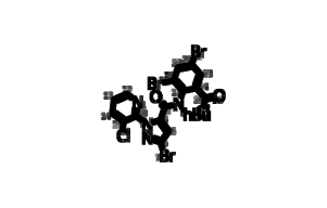 CCCCN(C(=O)c1cc(Br)nn1-c1ncccc1Cl)c1c(Br)cc(Br)cc1C(=O)Cl